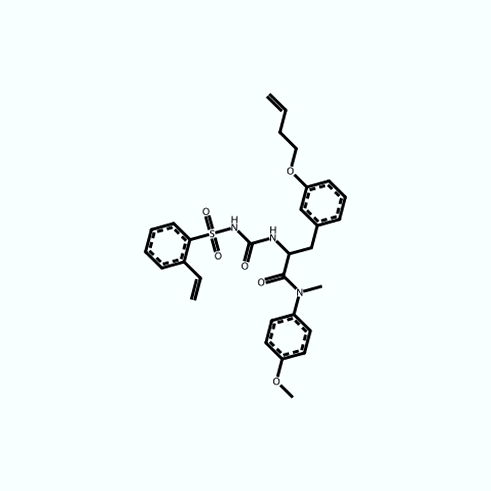 C=CCCOc1cccc(CC(NC(=O)NS(=O)(=O)c2ccccc2C=C)C(=O)N(C)c2ccc(OC)cc2)c1